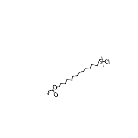 C=CC(=O)OCCCCCCCCCCCCCC[Si](C)(C)Cl